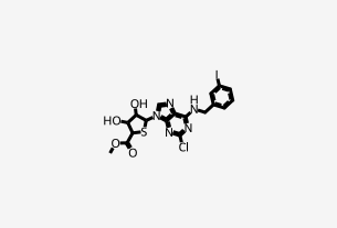 COC(=O)C1SC(n2cnc3c(NCc4cccc(I)c4)nc(Cl)nc32)C(O)C1O